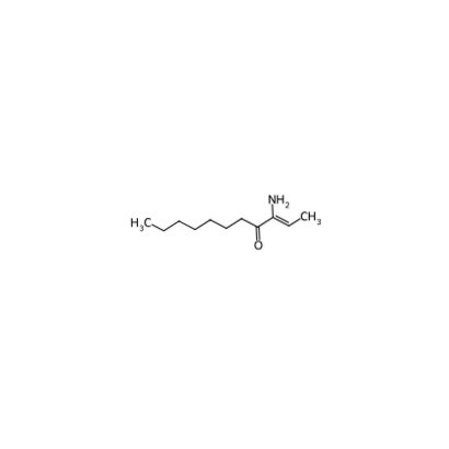 CC=C(N)C(=O)CCCCCCC